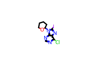 Clc1ncnc2c1nc(I)n2C1CCCCO1